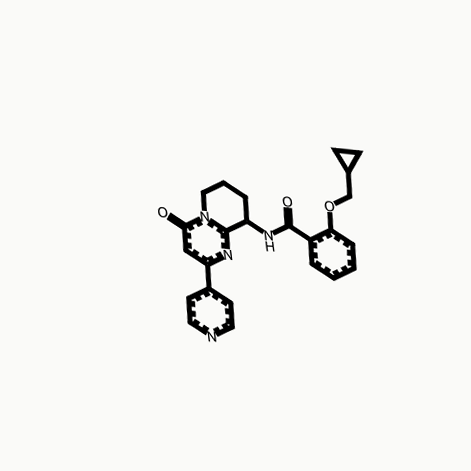 O=C(NC1CCCn2c1nc(-c1ccncc1)cc2=O)c1ccccc1OCC1CC1